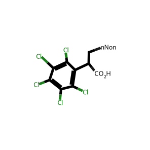 CCCCCCCCCCC(C(=O)O)c1c(Cl)c(Cl)c(Cl)c(Cl)c1Cl